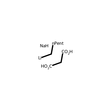 O=C(O)CC(=O)O.[Li][CH2]CCCCC.[NaH]